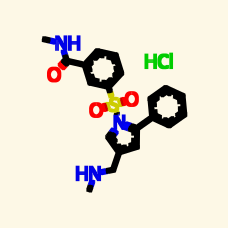 CNCc1cc(-c2ccccc2)n(S(=O)(=O)c2cccc(C(=O)NC)c2)c1.Cl